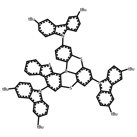 CC(C)(C)c1ccc2c(c1)c1cc(C(C)(C)C)ccc1n2-c1ccc2c(c1)Sc1cc(-n3c4ccc(C(C)(C)C)cc4c4cc(C(C)(C)C)ccc43)cc3c1B2c1c(cc(-n2c4ccc(C(C)(C)C)cc4c4cc(C(C)(C)C)ccc42)c2c1sc1ccccc12)S3